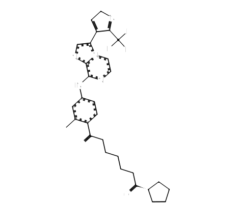 Cc1cc(Nc2nccn3c(C4=CCN=C4C(F)(F)F)cnc23)ccc1C(=O)CCCCCC(=O)[C@H]1CC[C@H](C)C1